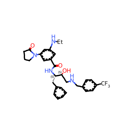 CCNc1cc(C(=O)N[C@@H](Cc2ccccc2)[C@@H](O)CNCc2ccc(C(F)(F)F)cc2)cc(N2CCCC2=O)c1